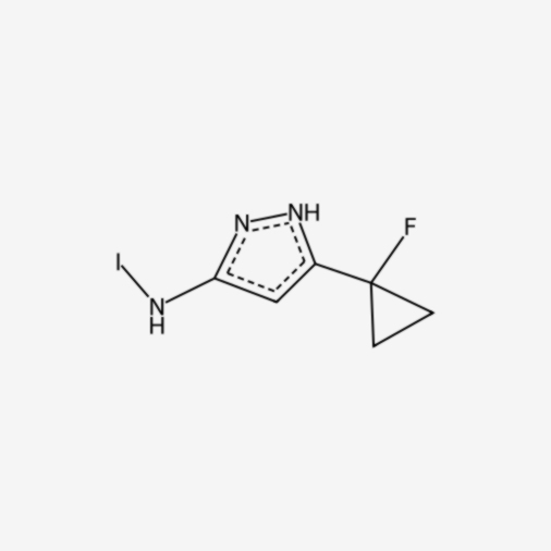 FC1(c2cc(NI)n[nH]2)CC1